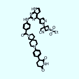 CCS(=O)(=O)N1CC(CC#N)(n2cc(-c3nc(Nc4ccc(C(=O)N5CCC6(CCN(c7ccc(C8CCC(=O)NC8=O)cc7)CC6)C5)cc4)nc4[nH]ccc34)cn2)C1